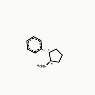 CC(=O)N[C@@H]1CCC[C@H]1c1ccccc1